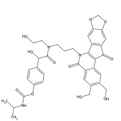 CC(C)NC(=O)Oc1ccc(C(O)C(=O)N(CCO)CCCn2c3c(c4cc(CO)c(CO)cc4c2=O)C(=O)c2cc4c(cc2-3)OCO4)cc1